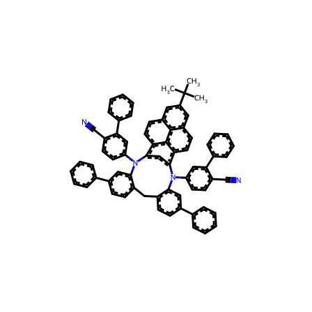 CC(C)(C)c1cc2ccc3c4cc(c5ccc(c1)c2c35)N(c1ccc(C#N)c(-c2ccccc2)c1)c1cc(-c2ccccc2)ccc1Cc1ccc(-c2ccccc2)cc1N4c1ccc(C#N)c(-c2ccccc2)c1